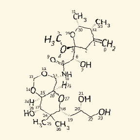 C=C1C[C@](OC)([C@H](O)C(=O)N[C@H]2OCO[C@H]3[C@@H]2O[C@H](C[C@H](O)CO)C(C)(C)[C@@H]3O)O[C@H](C)[C@@H]1C